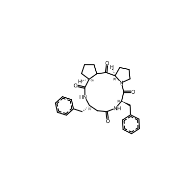 O=C1C[C@H](Cc2ccccc2)NC(=O)[C@H]2CCCC2C(=O)[C@H]2CCCN2C(=O)[C@@H](Cc2ccccc2)N1